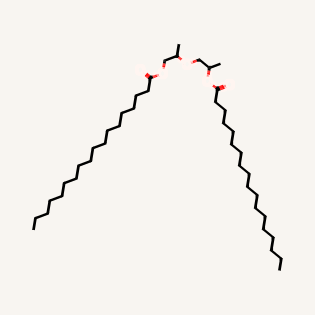 CCCCCCCCCCCCCCCCCC(=O)OCC(C)OCC(C)OC(=O)CCCCCCCCCCCCCCCCC